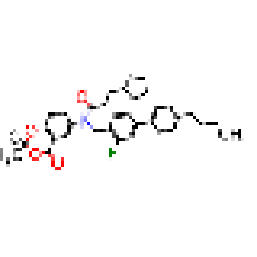 CCCCc1ccc(-c2ccc(CN(C(=O)CCC3CCCC3)c3ccc4c(c3)C(=O)OC(C)(C)O4)c(F)c2)cc1